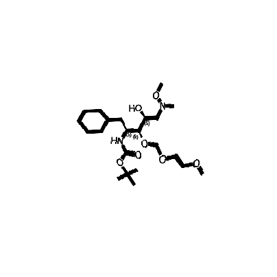 COCCOCO[C@H]([C@H](CC1CCCCC1)NC(=O)OC(C)(C)C)[C@@H](O)CN(C)OC